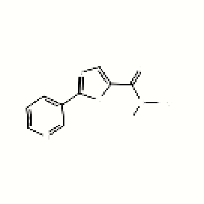 CON(C)C(=O)c1cnc(-c2cccnc2)s1